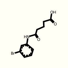 O=C(O)CCCC(=O)Nc1cccc(Br)c1